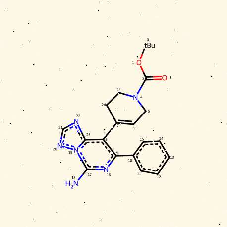 CC(C)(C)OC(=O)N1CC=C(c2c(-c3ccccc3)nc(N)n3ncnc23)CC1